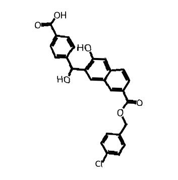 O=C(O)c1ccc(C(O)c2cc3cc(C(=O)OCc4ccc(Cl)cc4)ccc3cc2O)cc1